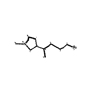 CCC(C)CCCC(C)C1CCN(C)C1